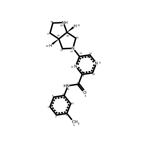 Cc1cccc(NC(=O)c2cncc(N3C[C@@H]4CCN[C@@H]4C3)n2)c1